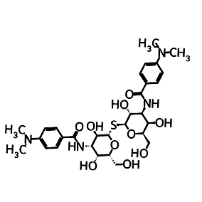 CN(C)c1ccc(C(=O)N[C@H]2[C@@H](O)[C@@H](CO)O[C@@H](S[C@@H]3O[C@H](CO)[C@H](O)[C@H](NC(=O)c4ccc(N(C)C)cc4)[C@H]3O)[C@@H]2O)cc1